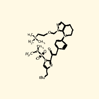 CN(C)S(=O)(=O)n1cc(CC(C)(C)C)nc1C(=O)Cc1ccc(N2CCCc3cnn(COCC[Si](C)(C)C)c32)cc1